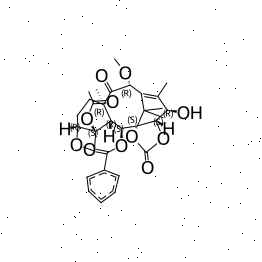 CO[C@H]1C(=O)[C@]2(C)CC[C@H]3OC[C@@]3(OC(C)=O)[C@H]2[C@H](OC(=O)c2ccccc2)[C@]23OC(=O)O[C@H]2[C@H](O)C(C)=C1C3(C)C